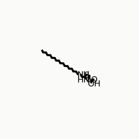 CCCCCCCCCCCCCCCCCCNCC1N[C@H](C(=O)O)CS1